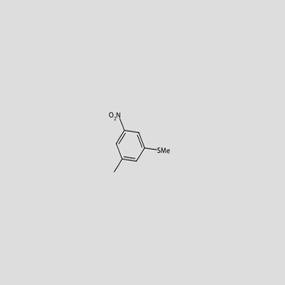 CSc1cc(C)cc([N+](=O)[O-])c1